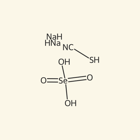 N#CS.O=[Se](=O)(O)O.[NaH].[NaH]